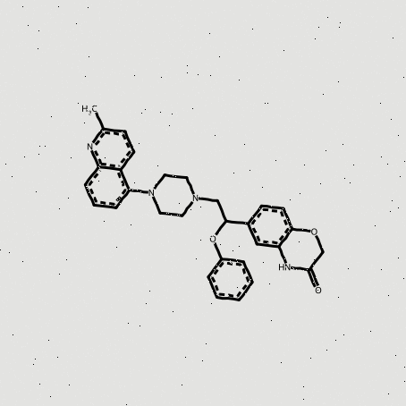 Cc1ccc2c(N3CCN(CC(Oc4ccccc4)c4ccc5c(c4)NC(=O)CO5)CC3)cccc2n1